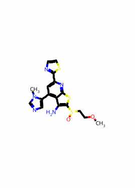 COCC[S+]([O-])c1sc2nc(-c3nccs3)cc(-c3cncn3C)c2c1N